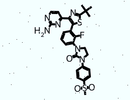 CC(C)(C)c1nc(-c2ccnc(N)n2)c(-c2cccc(N3CCN(c4ccc(S(C)(=O)=O)cc4)C3=O)c2F)s1